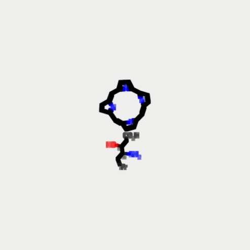 C1=CC2=NC1=Cc1ccc([nH]1)C1=NC(=CC3=NC(=C2)C=C3)C=C1.CC(C)C[C@H](N)[C@@H](O)CC(=O)O